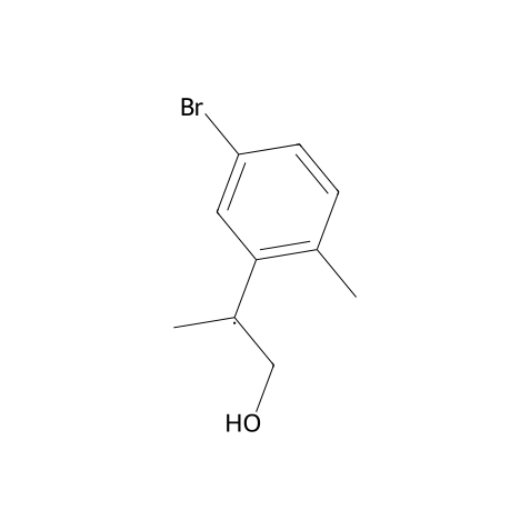 C[C](CO)c1cc(Br)ccc1C